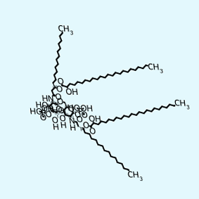 CCCCCCCCCCCCCCCCCCCCCCC(O)C(=O)O[C@H](CCCCCCCCCCCCCCC)CC(=O)N[C@H]1[C@H](OC[C@H]2O[C@H](OP(=O)(O)O)[C@H](NC(=O)C[C@@H](CCCCCCCCCCCCCCC)OC(=O)C(O)CCCCCCCCCCCCCCCCCCCCCC)[C@@H](O)[C@@H]2O)O[C@H](CO)[C@@H](OP(=O)(O)O)[C@@H]1O